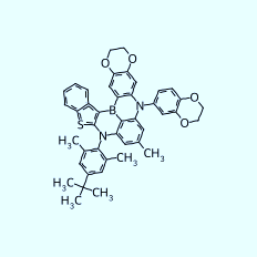 Cc1cc2c3c(c1)N(c1c(C)cc(C(C)(C)C)cc1C)c1sc4ccccc4c1B3c1cc3c(cc1N2c1ccc2c(c1)OCCO2)OCCO3